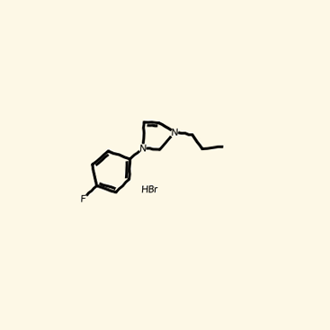 Br.CCCN1C=CN(c2ccc(F)cc2)C1